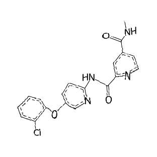 CNC(=O)c1ccnc(C(=O)Nc2ccc(Oc3ccccc3Cl)cn2)c1